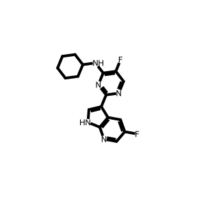 Fc1cnc2[nH]cc(-c3ncc(F)c(NC4CCCCC4)n3)c2c1